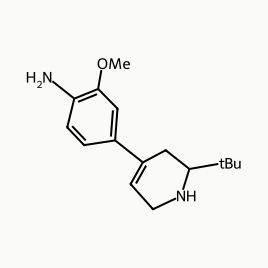 COc1cc(C2=CCNC(C(C)(C)C)C2)ccc1N